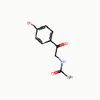 CCCC(=O)NCC(=O)c1ccc(Br)cc1